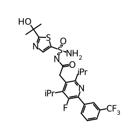 CC(C)c1nc(-c2cccc(C(F)(F)F)c2)c(F)c(C(C)C)c1CC(=O)N=[S@@](N)(=O)c1cnc(C(C)(C)O)s1